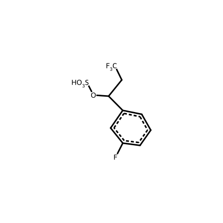 O=S(=O)(O)OC(CC(F)(F)F)c1cccc(F)c1